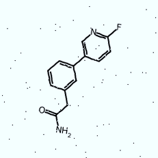 NC(=O)[CH]c1cccc(-c2ccc(F)nc2)c1